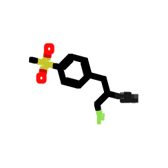 CC(C)(C)C(CF)Cc1ccc(S(C)(=O)=O)cc1